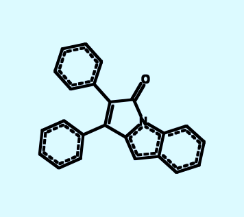 O=C1C(c2ccccc2)=C(c2ccccc2)c2cc3ccccc3n21